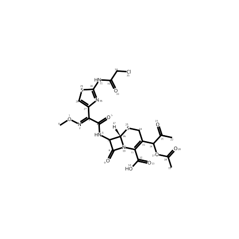 CON=C(C(=O)NC1C(=O)N2C(C(=O)O)=C(C(OC(C)=O)C(C)=O)CS[C@@H]12)c1csc(NC(=O)CCl)n1